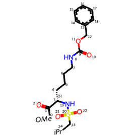 COC(=O)[C@H](CCCCNC(=O)OCc1ccccc1)NS(=O)(=O)CC(C)C